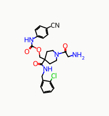 N#Cc1ccc(NC(=O)OCC2(C(=O)NCc3ccccc3Cl)CCN(C(=O)CN)CC2)cc1